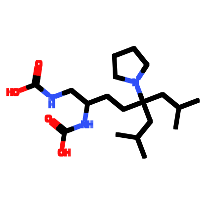 CC(C)CC(CCC(CNC(=O)O)NC(=O)O)(CC(C)C)N1CCCC1